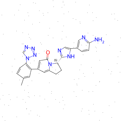 Cc1ccc(-n2cnnn2)c(-c2cc3n(c(=O)c2)[C@H](c2ncc(-c4ccc(N)nc4)[nH]2)CC3)c1